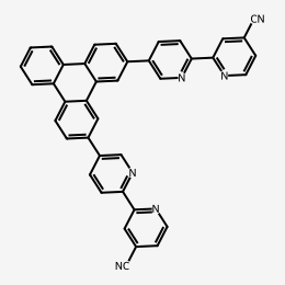 N#Cc1ccnc(-c2ccc(-c3ccc4c5ccccc5c5ccc(-c6ccc(-c7cc(C#N)ccn7)nc6)cc5c4c3)cn2)c1